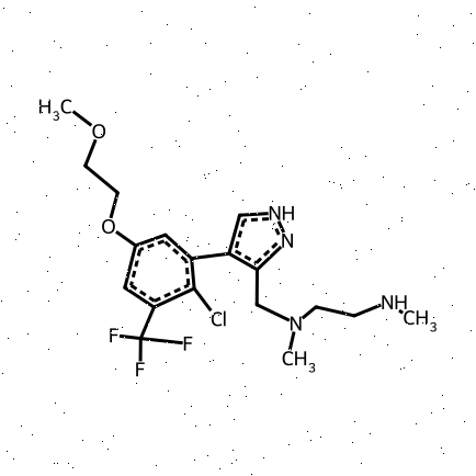 CNCCN(C)Cc1n[nH]cc1-c1cc(OCCOC)cc(C(F)(F)F)c1Cl